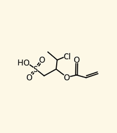 C=CC(=O)OC(CS(=O)(=O)O)C(C)Cl